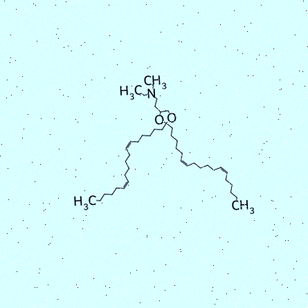 CCCCC/C=C\CCCC/C=C\CCCCCC1(CCCCC/C=C\CCCC/C=C\CCCCC)OCC(CCN(CC)CC)O1